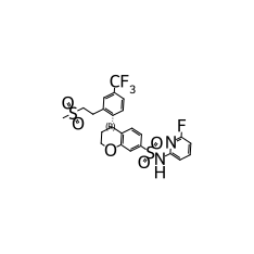 CS(=O)(=O)CCc1cc(C(F)(F)F)ccc1[C@H]1CCOc2cc(S(=O)(=O)Nc3cccc(F)n3)ccc21